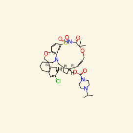 CC(C)N1CCN(C(=O)O[C@H]2C=CCOC(C)(C)C(=O)NS(=O)(=O)c3ccc4c(c3)N(C[C@@H]3CC[C@H]32)C[C@@]2(CCCc3cc(Cl)ccc32)CO4)CC1